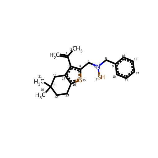 C=C(C)c1c(CN(S)Cc2ccccc2)sc2c1CC(C)(C)CC2